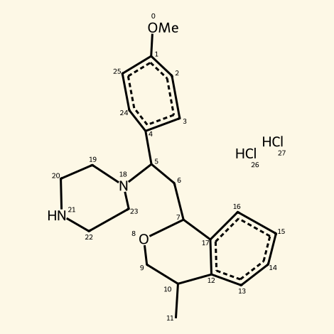 COc1ccc(C(CC2OCC(C)c3ccccc32)N2CCNCC2)cc1.Cl.Cl